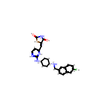 O=C1NC(=O)/C(=C/c2ccnc(N[C@H]3CC[C@@H](NCc4ccc5cc(F)ccc5c4)CC3)n2)S1